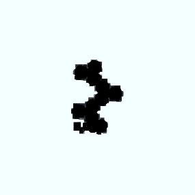 C=C1Oc2ccccc2-c2cc3c4cc(-c5ccc6c(c5)c5cc(-c7ccc8c(c7)c7ccccc7n8-c7ccccc7)ccc5n6-c5ccccc5)ccc4n(-c4ccccc4)c3cc21